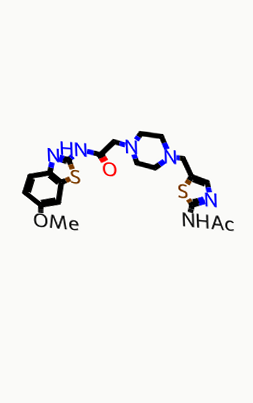 COc1ccc2nc(NC(=O)CN3CCN(Cc4cnc(NC(C)=O)s4)CC3)sc2c1